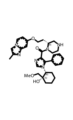 COC[C@]1(O)CCCC[C@H]1n1cnc(C(=O)N2CCNC[C@H]2CCOc2ccn3cc(C)nc3c2)c1-c1ccccc1